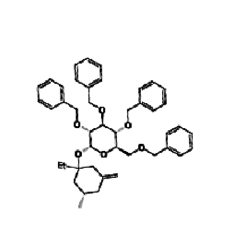 C=C1C[C@H](C)CC(CC)(O[C@H]2O[C@H](COCc3ccccc3)[C@@H](OCc3ccccc3)[C@H](OCc3ccccc3)[C@H]2OCc2ccccc2)C1